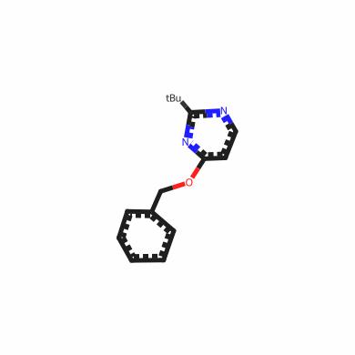 CC(C)(C)c1nccc(OCc2ccccc2)n1